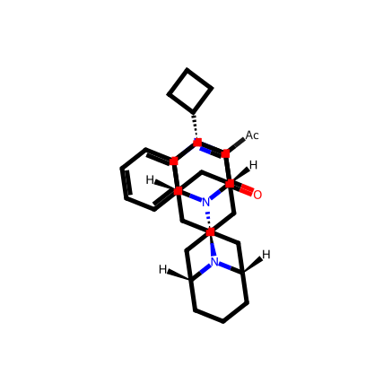 CC(=O)c1nc2ccccc2n([C@H]2C[C@H]3CCC[C@@H](C2)N3[C@@H]2C[C@@H]3C[C@@H](C[C@H](C4CCC4)C3)C2)c1=O